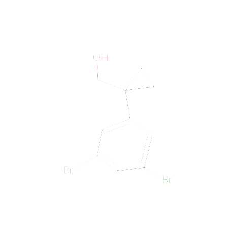 OCC1(c2cc(Br)cc(Br)c2)CC1